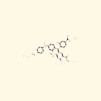 CC/N=C1\C=C2C(=C(c3ccc(C(=O)OC(C)(C)C)cc3C)c3ccc(N(C)c4ccc(OCOC)cc4)cc3[Si]2(C)C)C=C1C(C)CC(C)(C)C